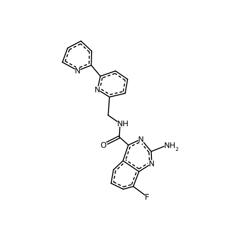 Nc1nc(C(=O)NCc2cccc(-c3ccccn3)n2)c2cccc(F)c2n1